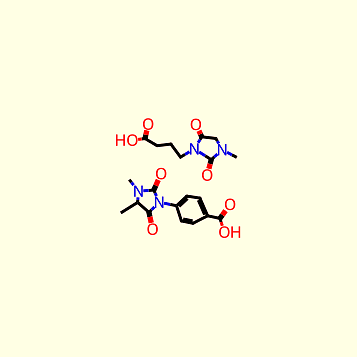 CC1C(=O)N(c2ccc(C(=O)O)cc2)C(=O)N1C.CN1CC(=O)N(CCCC(=O)O)C1=O